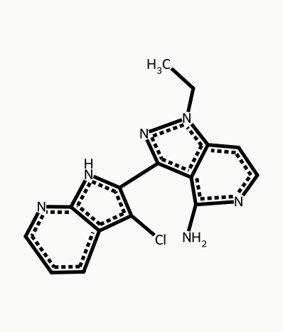 CCn1nc(-c2[nH]c3ncccc3c2Cl)c2c(N)nccc21